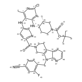 Cc1nc(Cl)nc(N[C@H]2CCN(C(=O)OC(C)(C)C)C[C@H]2C)c1Nc1ccc(C(=O)N2CCc3c(n(Cc4ccc(C#N)cc4F)c4ncccc34)C2)nc1